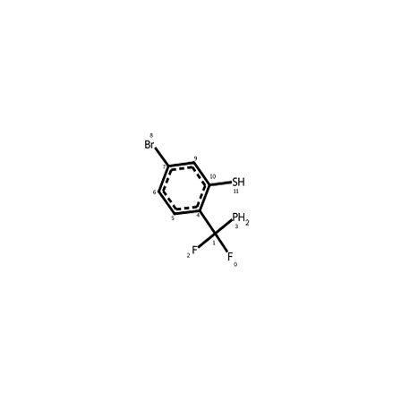 FC(F)(P)c1ccc(Br)cc1S